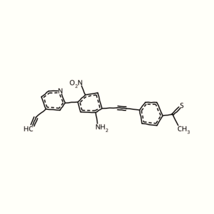 C#Cc1ccnc(-c2cc(N)c(C#Cc3ccc(C(C)=S)cc3)cc2[N+](=O)[O-])c1